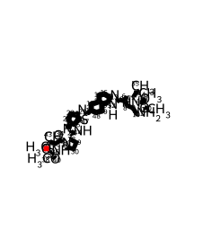 COC(=O)N[C@H](CC(CCCN)c1nc2ccc3cc(-c4nc5ccc6nc([C@@H]7CCCN7C(=O)[C@@H](NS(C)(=O)=O)C(C)C)[nH]c6c5s4)ccc3c2[nH]1)C(C)C